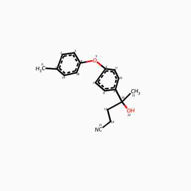 Cc1ccc(Oc2ccc(C(C)(O)CCC#N)cc2)cc1